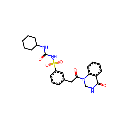 O=C(NC1CCCCC1)NS(=O)(=O)c1cccc(CC(=O)N2CNC(=O)c3ccccc32)c1